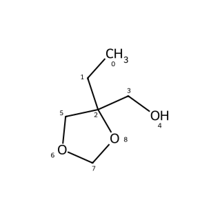 CCC1(CO)COCO1